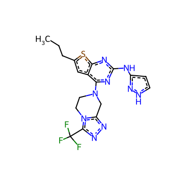 CCCc1cc2c(N3CCn4c(nnc4C(F)(F)F)C3)nc(Nc3cc[nH]n3)nc2s1